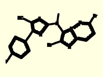 CCc1nc2ccc(Br)nn2c1N(C)c1nc(-c2ccc(F)cc2)c(C#N)s1